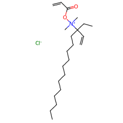 C=CC(=O)O[N+](C)(C)C(C=C)(CC)CCCCCCCCCCCC.[Cl-]